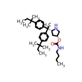 CCCCNC(=O)O[C@H]1CN[C@@H](C(C)(c2ccc(C(C)(C)CC)cc2)c2ccc(C(C)(C)CC)cc2)C1